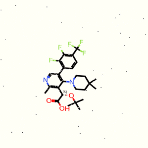 Cc1ncc(-c2ccc(C(F)(F)F)c(F)c2F)c(N2CCC(C)(C)CC2)c1[C@H](OC(C)(C)C)C(=O)O